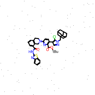 CC(C)(C)OC(=O)c1nc(N2CCc3cccc(C(=O)Nc4nc5ccccc5s4)c3C2)ccc1-c1cnn(CC23CC4CC(CC(C4)C2)C3)c1Cl